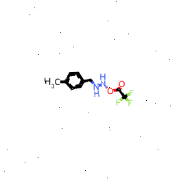 Cc1ccc(CNNOC(=O)C(F)(F)F)cc1